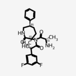 C[C@H](N)C(=O)N(C(=O)[C@@H](O)c1cc(F)cc(F)c1)[C@@]1(C)CC[C@H](c2ccccc2)CNC1=O